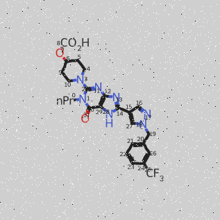 CCCn1c(N2CCC(OC(=O)O)CC2)nc2nc(-c3cnn(Cc4cccc(C(F)(F)F)c4)c3)[nH]c2c1=O